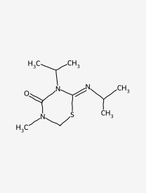 CC(C)/N=C1\SCN(C)C(=O)N1C(C)C